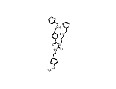 COc1ccc(CCNC(=O)[C@@H](CCCNCc2ccccn2)C(=O)c2ccc(CNCc3ccccn3)cc2)cc1